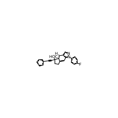 C[C@]12Cc3cnn(-c4ccc(F)cc4)c3C=C1CCC2(O)C#Cc1ccccc1